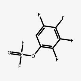 O=P(F)(F)Oc1cc(F)c(F)c(F)c1F